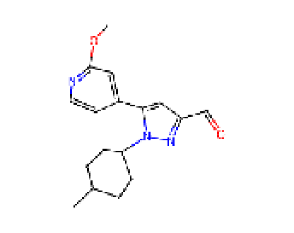 COc1cc(-c2cc(C=O)nn2[C]2CCC(C)CC2)ccn1